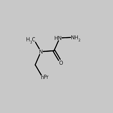 CCCCN(C)C(=O)NN